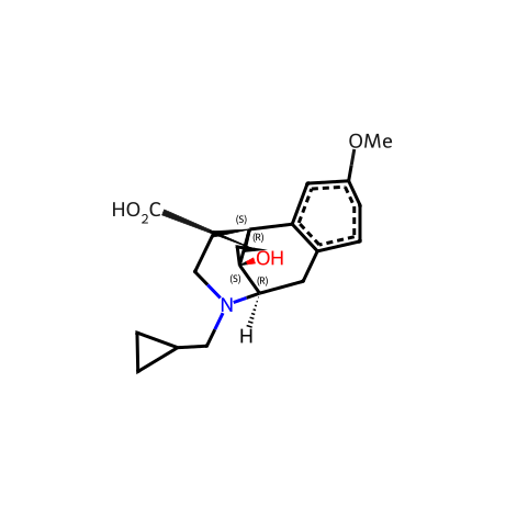 COc1ccc2c(c1)[C@]13CCN(CC4CC4)[C@H](C2)[C@]1(O)C[C@H](C(=O)O)C3